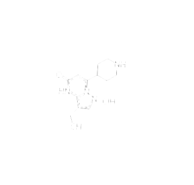 CCc1cnn2c(C3CCNCC3)cc(=O)[nH]c12.Cl